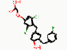 O=C(O)COc1cc(Cl)c(Cc2ccc(O)c(Cc3cccc(F)c3)c2)c(Cl)c1